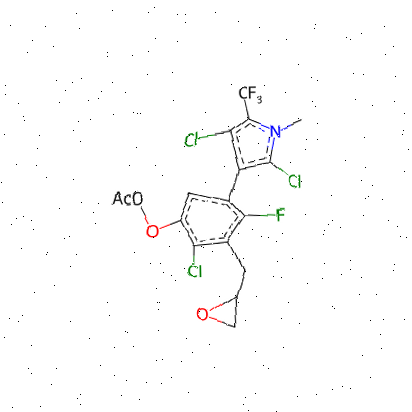 CC(=O)OOc1cc(-c2c(Cl)c(C(F)(F)F)n(C)c2Cl)c(F)c(CC2CO2)c1Cl